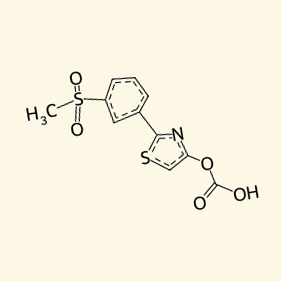 CS(=O)(=O)c1cccc(-c2nc(OC(=O)O)cs2)c1